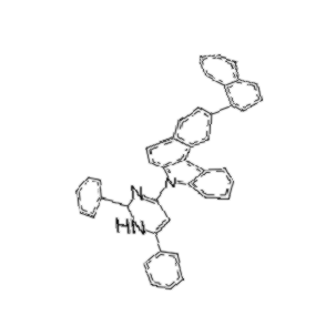 C1=C(c2ccccc2)NC(c2ccccc2)N=C1n1c2ccccc2c2c3cc(-c4cccc5ccccc45)ccc3ccc21